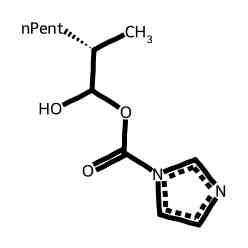 CCCCC[C@H](C)C(O)OC(=O)n1ccnc1